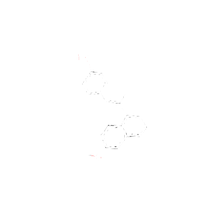 COc1ccc2c(C(C)=Cc3ccc(O)cc3)cccc2c1